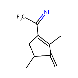 C=C1C(C)=C(C(=N)C(F)(F)F)CC1C